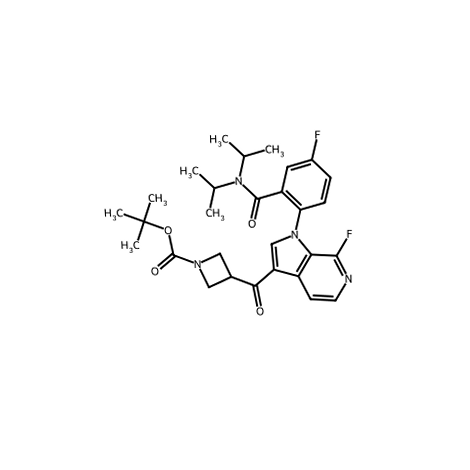 CC(C)N(C(=O)c1cc(F)ccc1-n1cc(C(=O)C2CN(C(=O)OC(C)(C)C)C2)c2ccnc(F)c21)C(C)C